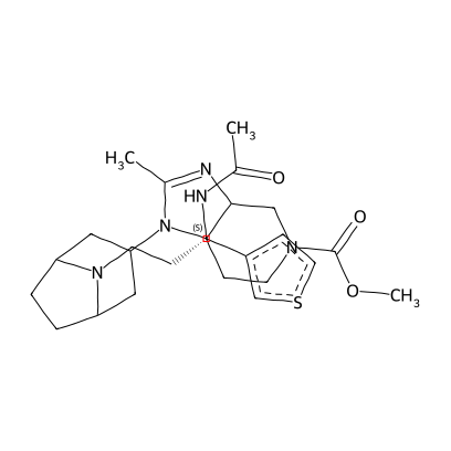 COC(=O)N1CCC2C(C1)N=C(C)N2C1CC2CCC(C1)N2CC[C@H](NC(C)=O)c1ccsc1